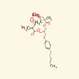 C=C(COC)C(=O)OCC(CCc1ccc(CCCCC)cc1)COC(=O)C(C)(C)CO